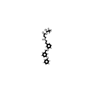 O=C(CCNCCc1cccc(OCc2cccc(Oc3ccccc3)c2)c1)OC(=O)C(F)(F)F